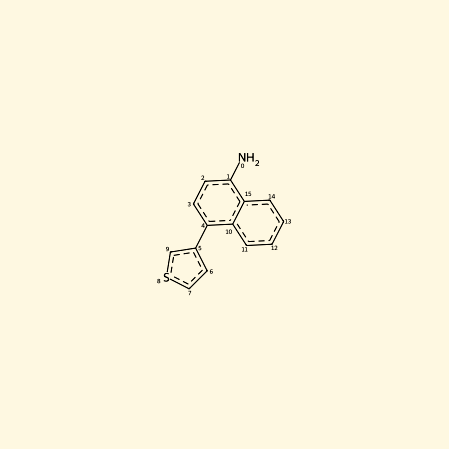 Nc1ccc(-c2ccsc2)c2ccccc12